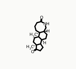 C[C@]12CCC3[C@@H](CC[C@H]4CNC(=O)CCC[C@]34C)C1CCC2=O